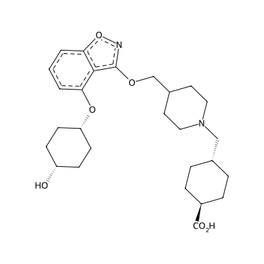 O=C(O)[C@H]1CC[C@H](CN2CCC(COc3noc4cccc(O[C@H]5CC[C@@H](O)CC5)c34)CC2)CC1